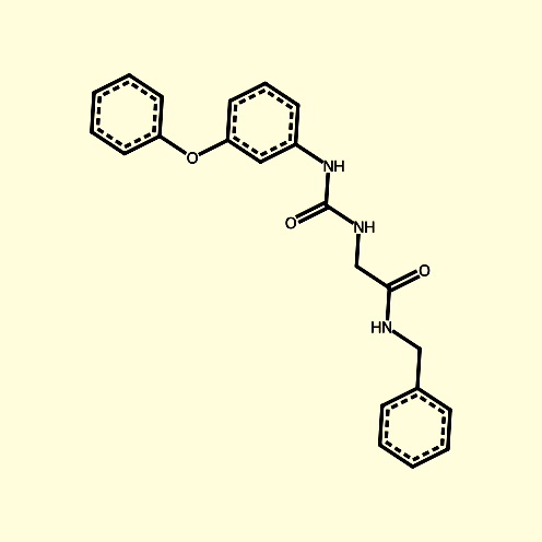 O=C(CNC(=O)Nc1cccc(Oc2ccccc2)c1)NCc1ccccc1